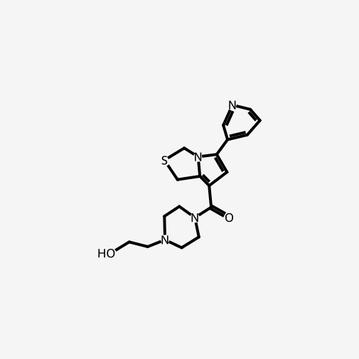 O=C(c1cc(-c2cccnc2)n2c1CSC2)N1CCN(CCO)CC1